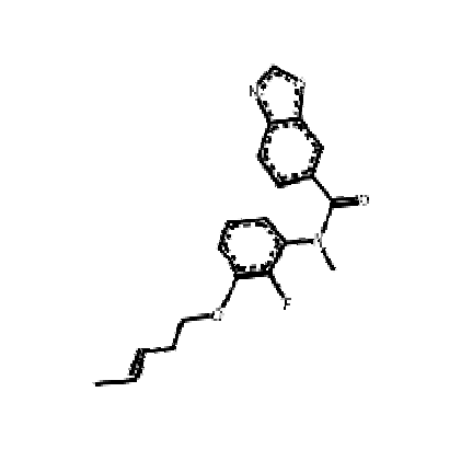 CC=CCCOc1cccc(N(C)C(=O)c2ccc3ncsc3c2)c1F